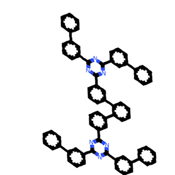 c1ccc(-c2cccc(-c3nc(-c4cccc(-c5ccccc5)c4)nc(-c4cccc(-c5ccccc5-c5cccc(-c6nc(-c7cccc(-c8ccccc8)c7)nc(-c7cccc(-c8ccccc8)c7)n6)c5)c4)n3)c2)cc1